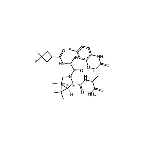 CC(C)C(NC(=O)C1CC(F)(F)C1)C(=O)N1C[C@H]2[C@@H]([C@H]1C(=O)NC(C[C@@H]1Oc3cc(F)ccc3NC1=O)C(N)=O)C2(C)C